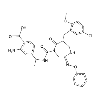 COc1ccc(Cl)cc1C[C@@H]1CN/C(=N\Oc2ccccc2)CN(C(=O)NC(C)c2ccc(C(=O)O)c(N)c2)C1=O